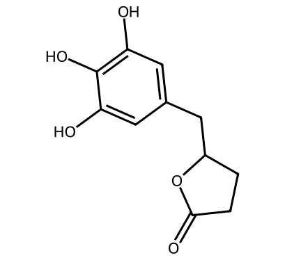 O=C1CCC(Cc2cc(O)c(O)c(O)c2)O1